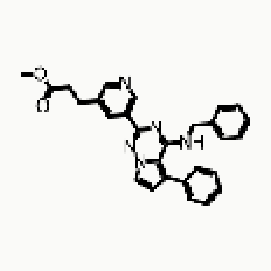 COC(=O)CCc1cncc(-c2nc(NCc3ccccc3)c3c(-c4ccccc4)ccn3n2)c1